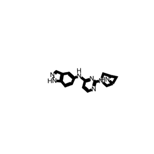 c1cc(Nc2ccc3[nH]ncc3c2)nc(N2CC3CC(C2)N3)n1